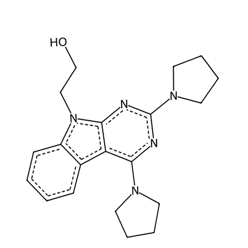 OCCn1c2ccccc2c2c(N3CCCC3)nc(N3CCCC3)nc21